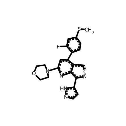 CSc1ccc(-c2cc(N3CCOCC3)nc3c(-c4ccn[nH]4)nccc23)c(F)c1